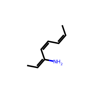 C\C=C/C=C\C(N)=C/C